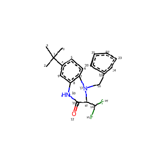 CC(C)(C)c1ccc2c(c1)NC(=O)C(C(F)F)N2Cc1ccccc1